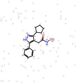 O=C(Cc1c(C2CCCC2)n[nH]c1-c1ccccc1)NO